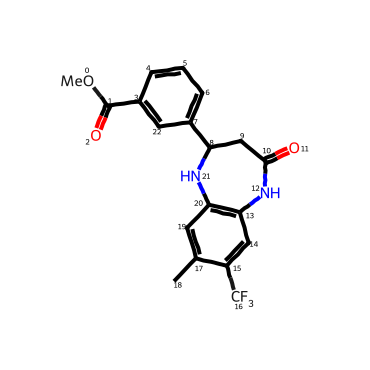 COC(=O)c1cccc(C2CC(=O)Nc3cc(C(F)(F)F)c(C)cc3N2)c1